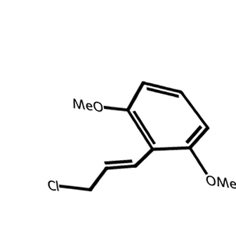 COc1cccc(OC)c1/C=C/CCl